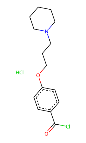 Cl.O=C(Cl)c1ccc(OCCCN2CCCCC2)cc1